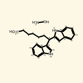 NO.O=C(O)CCCCCC(c1cc2ccccc2[nH]1)c1c[nH]c2ccccc12